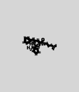 CN(C)CCCNC(=O)C=CC(Cc1ccccc1)NC(=O)C1(N)CCCC1